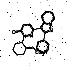 O=C(O)C=C1CCCCC1n1nc(-c2c(-c3ccccc3)nn3ccccc23)ccc1=O